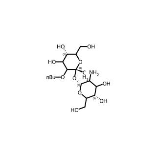 CCCCOC1C(O)[C@H](O)C(CO)O[C@]1(C)O[C@H]1OC(CO)[C@@H](O)C(O)C1N